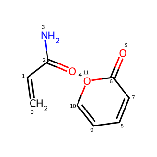 C=CC(N)=O.O=c1cccco1